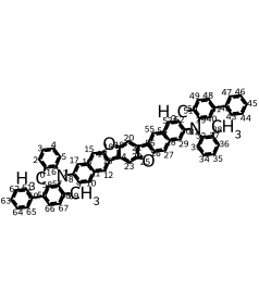 Cc1ccccc1N(c1ccc2cc3c(cc2c1)oc1cc2c(cc13)oc1cc3cc(N(c4ccccc4C)c4cc(-c5ccccc5)ccc4C)ccc3cc12)c1cc(-c2ccccc2)ccc1C